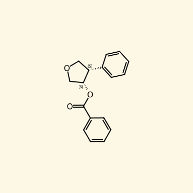 O=C(O[C@@H]1COC[C@@H]1c1ccccc1)c1ccccc1